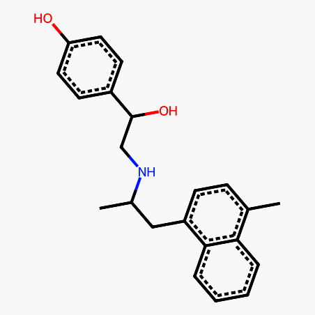 Cc1ccc(CC(C)NCC(O)c2ccc(O)cc2)c2ccccc12